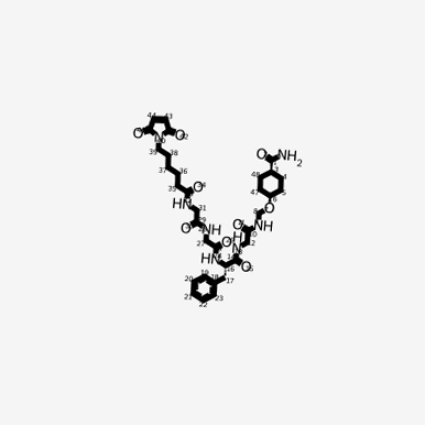 NC(=O)[C@H]1CC[C@@H](OCNC(=O)CNC(=O)[C@H](Cc2ccccc2)NC(=O)CNC(=O)CNC(=O)CCCCCN2C(=O)C=CC2=O)CC1